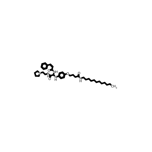 CCCCCCCCCCCCNC(=O)CCCOc1ccc(NC(NC(=O)/C=C\c2ccccc2)C(=O)NCCN2CCCC2)cc1